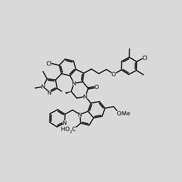 COCc1cc(N2C[C@@H](C)n3c(c(CCCOc4cc(C)c(Cl)c(C)c4)c4ccc(Cl)c(-c5c(C)nn(C)c5C)c43)C2=O)c2c(c1)cc(C(=O)O)n2Cc1ccccn1